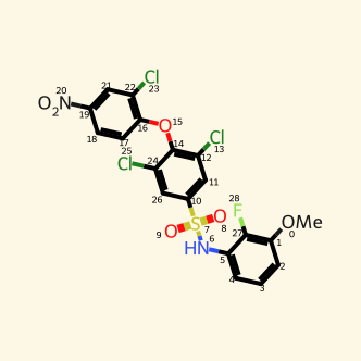 COc1cccc(NS(=O)(=O)c2cc(Cl)c(Oc3ccc([N+](=O)[O-])cc3Cl)c(Cl)c2)c1F